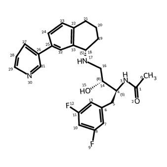 CC(=O)N[C@@H](Cc1cc(F)cc(F)c1)[C@H](O)CN[C@H]1CCCc2ccc(-c3cccnc3)cc21